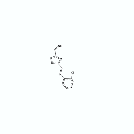 N=Cc1ccc(C=Nc2ccccc2Cl)o1